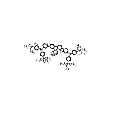 CC(C)(C)c1ccc(N(c2ccc(C(C)(C)C)cc2)c2ccc3c(c2)oc2c4c(ccc23)-c2cc3oc5ccc(N(c6ccc(C(C)(C)C)cc6)c6ccc(C(C)(C)C)cc6)cc5c3cc2C42C3CC4CC(C3)CC2C4)cc1